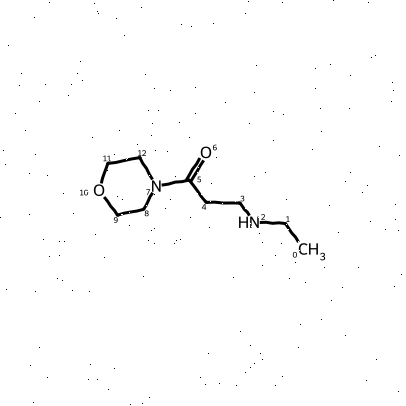 CCNCCC(=O)N1CCOCC1